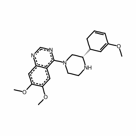 COC1=CC([C@H]2CN(c3ncnc4cc(OC)c(OC)cc34)CCN2)CC=C1